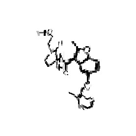 Cc1ncsc1COc1ccc2oc(C)c(C(=O)NC3(C)CCN(CCO)C3=O)c2c1